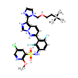 COc1ncc(Cl)cc1S(=O)(=O)Nc1ccc(F)c(-c2ccc3c(-c4nccn4COCC[Si](C)(C)C)ncn3n2)c1F